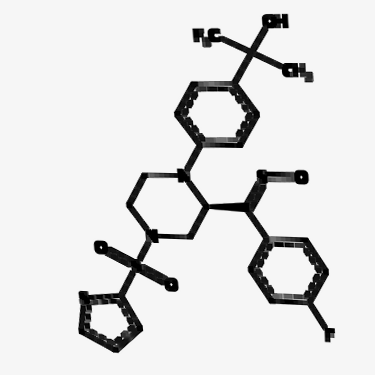 CC(O)(c1ccc(N2CCN(S(=O)(=O)c3cccs3)C[C@@H]2C(=S=O)c2ccc(F)cc2)cc1)C(F)(F)F